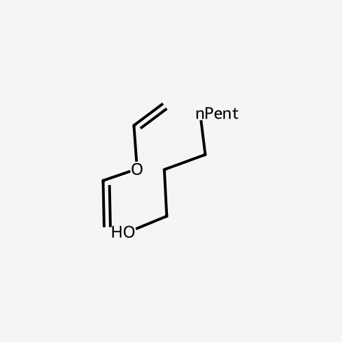 C=COC=C.CCCCCCCCO